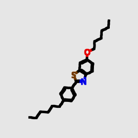 CCCCCCOc1ccc2nc(-c3ccc(CCCCCC)cc3)sc2c1